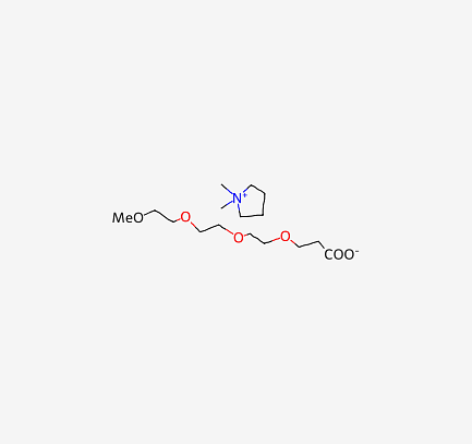 COCCOCCOCCOCCC(=O)[O-].C[N+]1(C)CCCC1